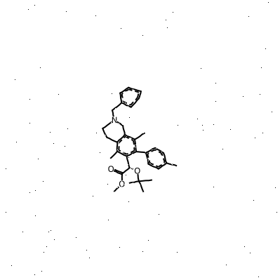 COC(=O)[C@@H](OC(C)(C)C)c1c(C)c2c(c(C)c1-c1ccc(C)cc1)CN(Cc1ccccc1)CC2